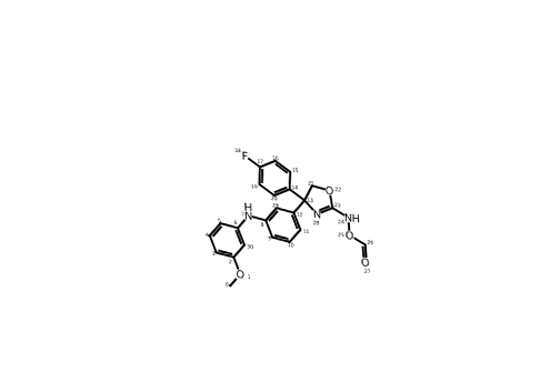 COc1cccc(Nc2cccc(C3(c4ccc(F)cc4)COC(NOC=O)=N3)c2)c1